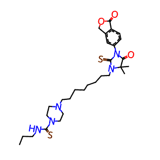 CCCNC(=S)N1CCN(CCCCCCCCN2C(=S)N(c3ccc4c(c3)COC4=O)C(=O)C2(C)C)CC1